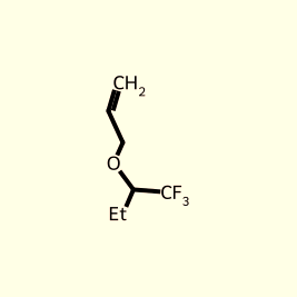 C=CCOC(CC)C(F)(F)F